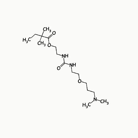 CCC(C)(C)C(=O)OCCNC(=O)NCCOCCCN(C)C